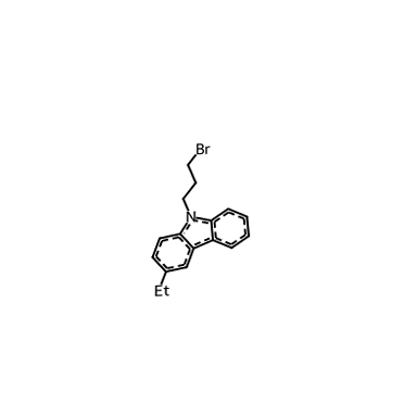 CCc1ccc2c(c1)c1ccccc1n2CCCBr